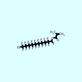 C=C(C)C(=O)OC(F)C(F)(F)C(F)(F)C(F)(F)C(F)(F)C(F)(F)C(F)(F)C(F)(F)C(F)(F)C(F)(F)CC